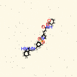 O=C(/C=C/c1ccn(S(=O)(=O)c2ccc(CNCc3c[nH]c4ccccc34)cc2)c1)NOC1CCCCO1